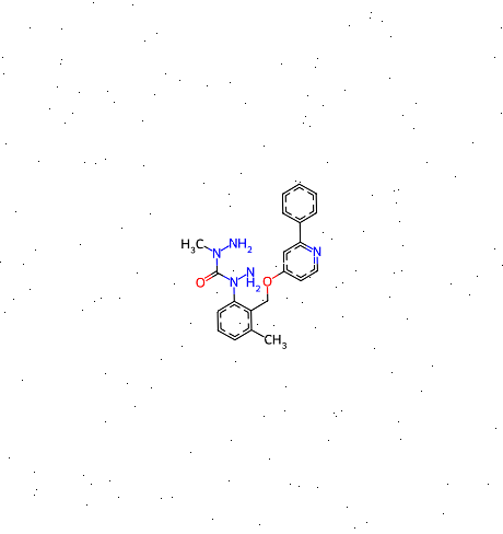 Cc1cccc(N(N)C(=O)N(C)N)c1COc1ccnc(-c2ccccc2)c1